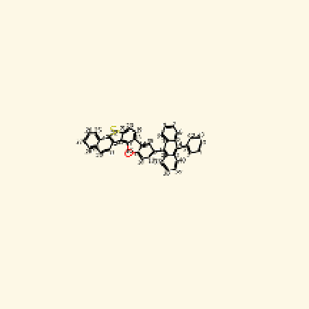 c1ccc(-c2c3ccccc3c(-c3ccc4oc5c(ccc6sc7c8ccccc8ccc7c65)c4c3)c3ccccc23)cc1